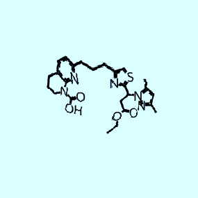 CCOC(=O)CC(c1nc(CCCc2ccc3c(n2)N(C(=O)O)CCC3)cs1)n1nc(C)cc1C